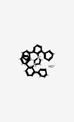 Cl.c1ccc(-c2cccc(-c3ccccc3)c2N2CCN(c3c(-c4ccccc4)cccc3-c3ccccc3)C2)cc1